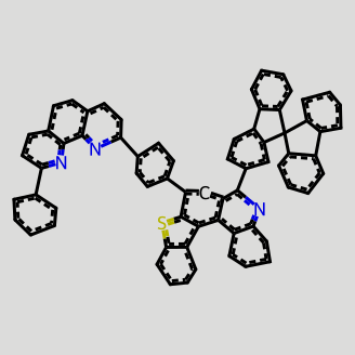 c1ccc(-c2ccc3ccc4ccc(-c5ccc(-c6cc7c(-c8ccc9c(c8)C8(c%10ccccc%10-c%10ccccc%108)c8ccccc8-9)nc8ccccc8c7c7c6sc6ccccc67)cc5)nc4c3n2)cc1